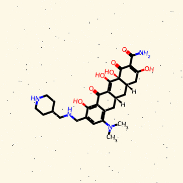 CN(C)c1cc(CNCC2CCNCC2)c(O)c2c1C[C@H]1C[C@H]3CC(O)=C(C(N)=O)C(=O)[C@@]3(O)C(O)=C1C2=O